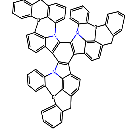 c1ccc2c(c1)Cc1ccc3c4c5c6ccc7c8c6n(c5c5c(c6cccc9c6n5-c5cccc6c5B9c5ccccc5C6)c4n4c3c1B2c1ccccc1-4)-c1ccccc1B8c1ccccc1C7